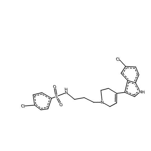 O=S(=O)(NCCCN1CC=C(c2c[nH]c3ccc(Cl)cc23)CC1)c1ccc(Cl)cc1